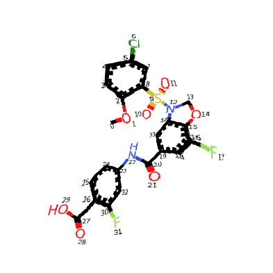 COc1ccc(Cl)cc1S(=O)(=O)N1COc2c(F)cc(C(=O)Nc3ccc(C(=O)O)c(F)c3)cc21